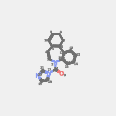 O=C(N1C=CC2=C(CCC=C2)c2ccccc21)n1ccnc1